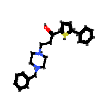 O=C(CCN1CCN(Cc2ccccc2)CC1)c1ccc(-c2ccccc2)s1